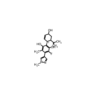 C=C(C)C1CC(O)C=C[C@@H]1c1c(O)c(C)c(-c2cnn(C)c2)c(F)c1O